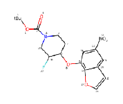 CC(C)(C)OC(=O)N1CCC(Oc2cc([N+](=O)[O-])cc3ccoc23)C(F)C1